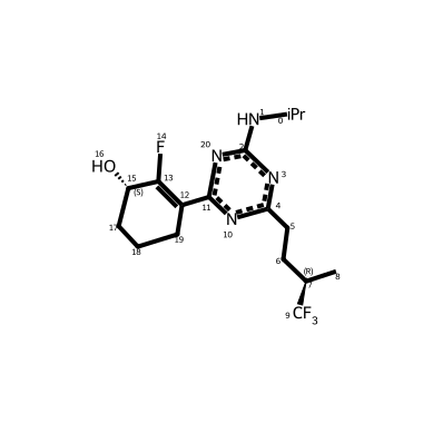 CC(C)Nc1nc(CC[C@@H](C)C(F)(F)F)nc(C2=C(F)[C@@H](O)CCC2)n1